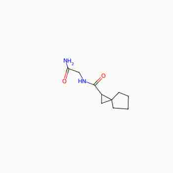 NC(=O)CNC(=O)C1CC12CCCC2